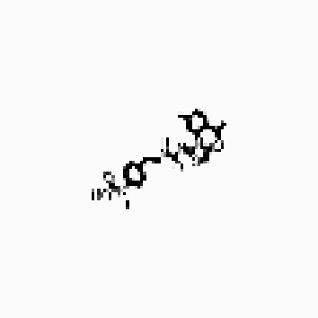 Cc1ccc(C(C)C)c(N2C(=O)CSC2=NC(=O)NCCc2ccc(NC(=O)O)cc2)c1